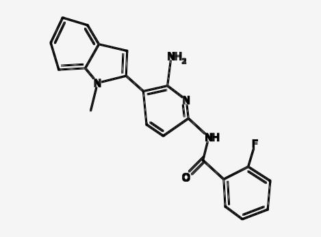 Cn1c(-c2ccc(NC(=O)c3ccccc3F)nc2N)cc2ccccc21